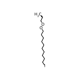 C=CCOOCCCCCCCCCCI